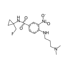 CN(C)CCCNc1ccc(S(=O)(=O)NC2(CF)CC2)cc1[N+](=O)[O-]